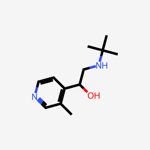 Cc1cnccc1C(O)CNC(C)(C)C